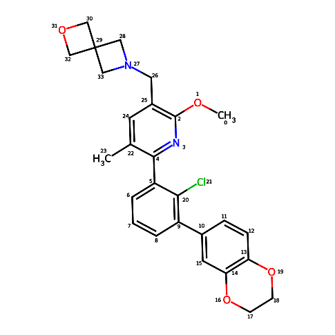 COc1nc(-c2cccc(-c3ccc4c(c3)OCCO4)c2Cl)c(C)cc1CN1CC2(COC2)C1